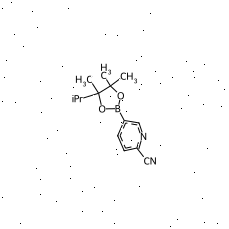 CC(C)C1(C)OB(c2ccc(C#N)nc2)OC1(C)C